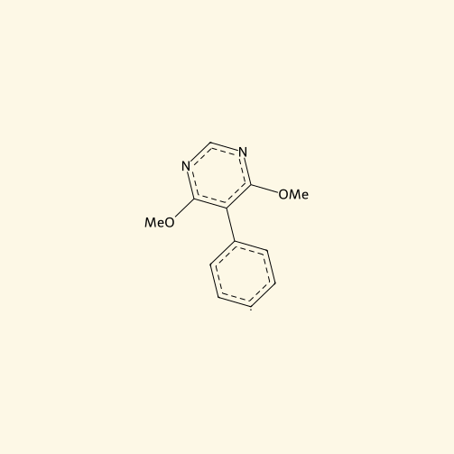 COc1ncnc(OC)c1-c1cc[c]cc1